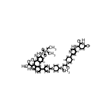 CCN(C)S(=O)(=O)Nc1ccc(F)c(C(=O)c2c(C(=O)O)[nH]c3ncc(-c4cnc(N5CCC(N(C)CC(=O)N6CCC(c7ccc(NC8CCC(=O)NC8=O)cn7)CC6)CC5)nc4)cc23)c1F